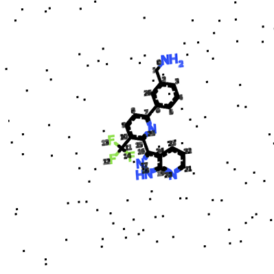 NCc1cccc(-c2ccc(C(F)(F)F)c(-c3n[nH]c4ncccc34)n2)c1